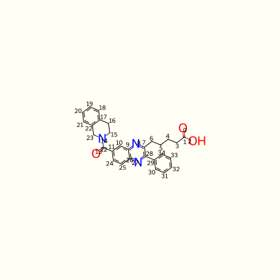 O=C(O)CCCCc1nc2cc(C(=O)N3CCc4ccccc4C3)ccc2nc1-c1ccccc1